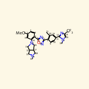 COc1ccc(-c2nc(-c3ccc(-c4nc(C(F)(F)F)cn4C)cc3C)no2)c(N2CC3CN(C)CC3C2)c1